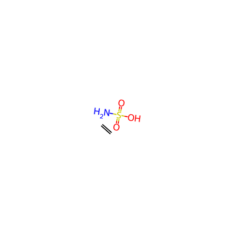 C=C.NS(=O)(=O)O